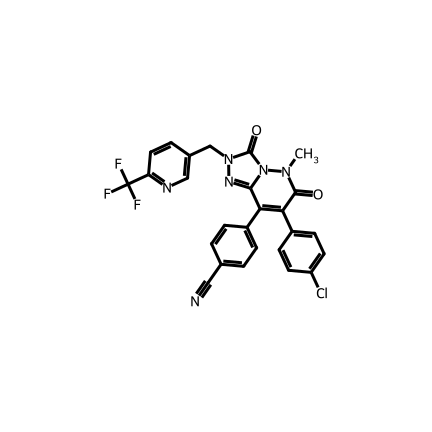 Cn1c(=O)c(-c2ccc(Cl)cc2)c(-c2ccc(C#N)cc2)c2nn(Cc3ccc(C(F)(F)F)nc3)c(=O)n21